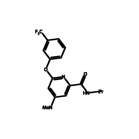 CNc1cc(Oc2cccc(C(F)(F)F)c2)nc(C(=O)NC(C)C)c1